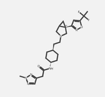 Cn1ncc(CC(=O)N[C@H]2CC[C@H](CCN3CC4C[C@]4(c4cc(C(C)(F)F)on4)C3)CC2)n1